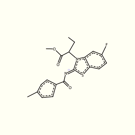 CCC(C(=O)OC)n1/c(=N/C(=O)c2ccc(C)cc2)sc2ccc(F)cc21